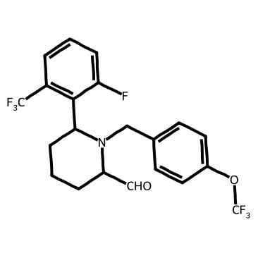 O=CC1CCCC(c2c(F)cccc2C(F)(F)F)N1Cc1ccc(OC(F)(F)F)cc1